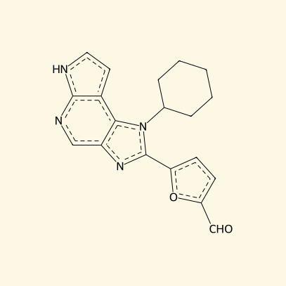 O=Cc1ccc(-c2nc3cnc4[nH]ccc4c3n2C2CCCCC2)o1